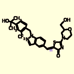 CC(C)(O)c1ccc(Cn2ncc3cc(/C=C4\SC(N5CCOC(CO)C5)=NC4=O)ccc32)c(C(F)(F)F)c1